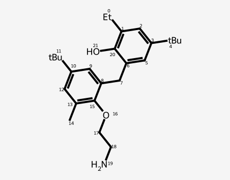 CCc1cc(C(C)(C)C)cc(Cc2cc(C(C)(C)C)cc(C)c2OCCN)c1O